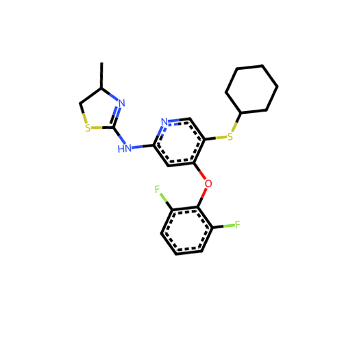 CC1CSC(Nc2cc(Oc3c(F)cccc3F)c(SC3CCCCC3)cn2)=N1